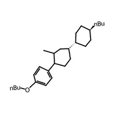 CCCCOc1ccc(C2CCC([C@H]3CC[C@H](CCCC)CC3)CC2C)cc1